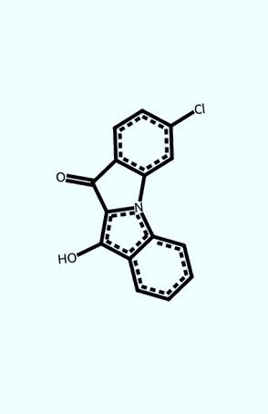 O=C1c2ccc(Cl)cc2-n2c1c(O)c1ccccc12